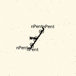 CCCCCC(C/C=C\COC(=O)CCCCCCCC(CCCCCCCC(=O)OC/C=C\CC(CCCCC)CCCCC)OC(=O)CCCN(C)C)CCCCC